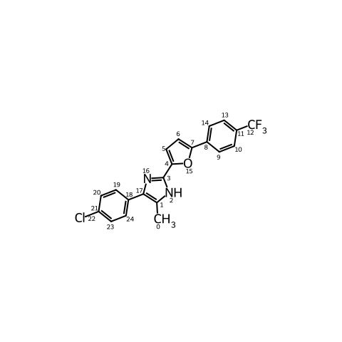 Cc1[nH]c(-c2ccc(-c3ccc(C(F)(F)F)cc3)o2)nc1-c1ccc(Cl)cc1